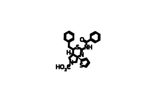 O=C(NC1=N[C@@]2(c3cccs3)CN(C(=O)O)C[C@H]2C(Cc2ccccc2)S1)c1ccccc1